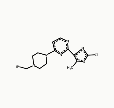 Cc1sc(Cl)nc1-c1nccc(N2CCN(CC(C)C)CC2)n1